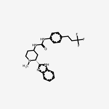 CN1CCC(NC(=O)Nc2ccc(CCC(F)(F)F)cc2)C[C@@H]1c1nc2ccccc2[nH]1